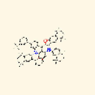 Cc1cc2c3c(c1)N(c1ccc4c(c1)C(C)(C)CCC4(C)C)c1c(oc4cc5c(cc14)C(C)(C)CCC5(C)C)B3c1ccc(-c3cccc(C(C)(C)C)c3)cc1N2c1cc2c(cc1-c1ccccc1)C(C)(C)CCC2(C)C